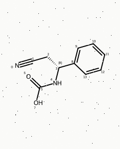 N#CC[C@@H](NC(=O)O)c1ccccc1